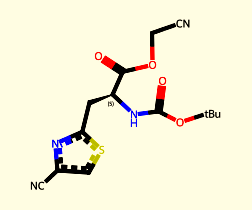 CC(C)(C)OC(=O)N[C@@H](Cc1nc(C#N)cs1)C(=O)OCC#N